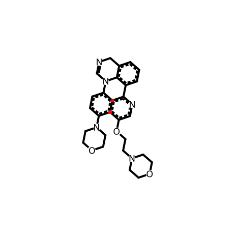 C1=NCc2cccc(-c3ccc(OCCN4CCOCC4)cn3)c2N1c1ccc(N2CCOCC2)cc1